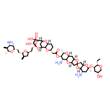 C=C1C[C@H](CC[C@]23OC([C@H]4C[C@@H](O2)C2O[C@@H](CC(=O)O[C@H]5[C@H](C)O[C@H]6C[C@H]7O[C@@]8(C[C@@H]9O[C@@](C)(O[C@H]%10C[C@@H](O)CO[C@H]%10CC)C[C@H](N)[C@@H]9O8)C[C@H]7OC6[C@@H]5N)CC[C@@H]2O4)C(O)(O)[C@H]3O)O[C@H]1CC[C@H]1C[C@@H](N)C(=C)[C@@H](C)O1